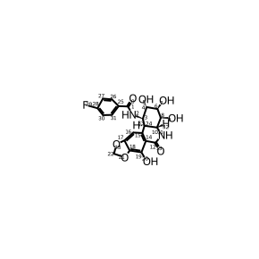 O=C(N[C@H]1[C@H](O)[C@@H](O)[C@@H](O)[C@@H]2NC(=O)c3c(cc4c(c3O)OCO4)[C@@H]12)c1ccc(F)cc1